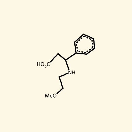 COCCNC(CC(=O)O)c1ccccc1